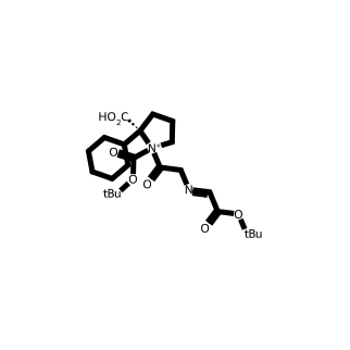 CC(C)(C)OC(=O)C=NCC(=O)[N+]1(C(=O)OC(C)(C)C)CCC[C@]1(C(=O)O)C1CCCCC1